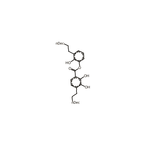 CCCCCCCCCCCCc1cccc(OC(=O)c2ccc(CCCCCCCCCCCC)c(O)c2O)c1O